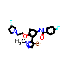 Cn1ncc(Br)c1-c1cc(NC(=O)c2ccc(F)cc2)ccc1OCCN1CC[C@H](F)C1